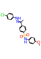 COc1ccc(NS(=O)(=O)c2ccc(C(C)=NNc3ccc(Cl)cc3)cc2)cc1